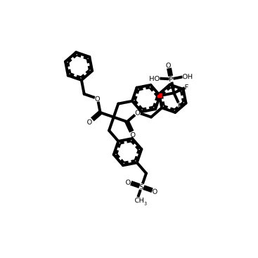 CS(=O)(=O)Cc1ccc(CC(Cc2ccc(C(F)(F)P(=O)(O)O)cc2)(C(=O)OCc2ccccc2)C(=O)OCc2ccccc2)cc1